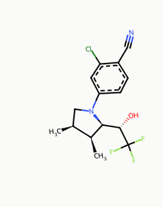 C[C@@H]1[C@H]([C@H](O)C(F)(F)F)N(c2ccc(C#N)c(Cl)c2)C[C@@H]1C